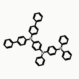 c1ccc(-c2ccc(N(c3ccc(-c4ccccc4)cc3)c3ccc(N(c4ccccc4)c4ccc(N(c5ccccc5)c5ccccc5)cc4)cc3)cc2)cc1